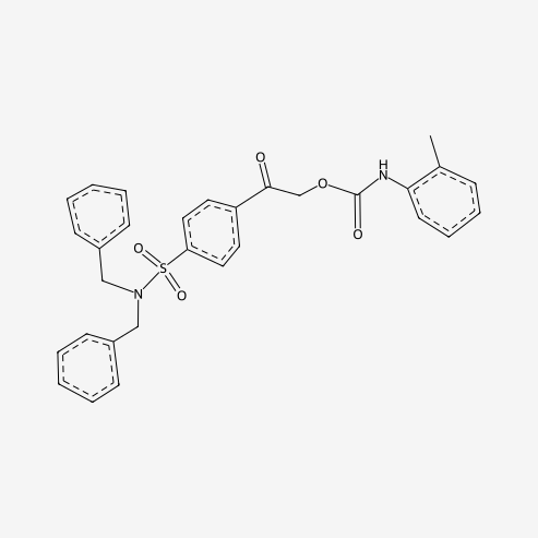 Cc1ccccc1NC(=O)OCC(=O)c1ccc(S(=O)(=O)N(Cc2ccccc2)Cc2ccccc2)cc1